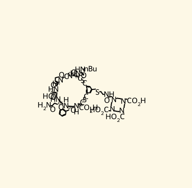 CCCCNC(=O)N[C@H]1CSCc2cc(CSCCNC(=O)CN3CCN(CC(=O)O)CCN(CC(=O)O)CCN(CC(=O)O)CC3)cc(c2)CSC[C@@H](C(=O)O)NC(=O)[C@H](Cc2ccccc2)NC(=O)[C@H](CCC(N)=O)NC(=O)[C@H]([C@@H](C)O)NC(=O)[C@@H]2CCCN2C(=O)CN(C)C1=O